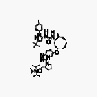 C=C1/C=C\C=C/C[C@H](Oc2ccc3nnc(N4CCC[C@@H]4CO[Si](C(C)C)(C(C)C)C(C)C)n3c2)CC[C@@H]1NC(=O)Nc1cc(C(C)(C)C)nn1-c1ccc(C)cc1